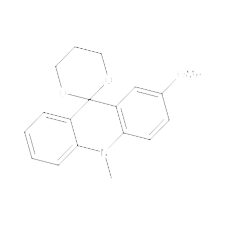 COc1ccc2c(c1)C1(OCCCO1)c1ccccc1N2C